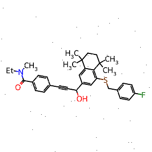 CCN(C)C(=O)c1ccc(C#CC(O)c2cc(SCc3ccc(F)cc3)c3c(c2)C(C)(C)CCC3(C)C)cc1